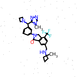 Cn1cnnc1C(c1cccc(N2Cc3c(cc(CNC4(C)CCC4)cc3C(F)(F)F)C2=O)c1)N1CCC1